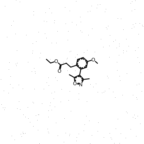 CCOC(=O)CCc1ccc(OC)cc1-c1c(C)noc1C